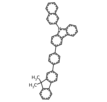 CC1(C)c2ccccc2-c2ccc(-c3ccc(-c4ccc5c(c4)c4ccccc4n5-c4ccc5ccccc5c4)cc3)cc21